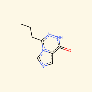 CCCc1n[nH]c(=O)c2cncn12